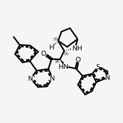 Cc1ccc(-c2nccnc2C(=O)[C@H](NC(=O)c2cccc3ncsc23)[C@H]2NC3CC[C@H]2C3)cc1